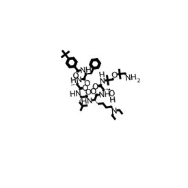 CCN(CC)CCCC[C@H](NC(=O)[C@H](CC(C)C)NC(=O)[C@H](C)NC(=O)[C@H](Cc1ccccc1)NC(=O)c1ccc(C(C)(C)C)cc1)C(=O)N[C@@H](CO)C(=O)NC(C)(C)COC(C)(C)CN